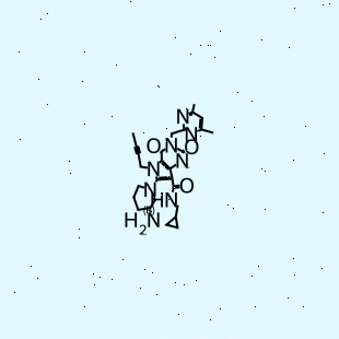 CC#CCn1c(N2CCC[C@@H](N)C2)c(C(=O)NCC2CC2)c2c1c(=O)n(Cc1nc(C)cc(C)n1)c(=O)n2C